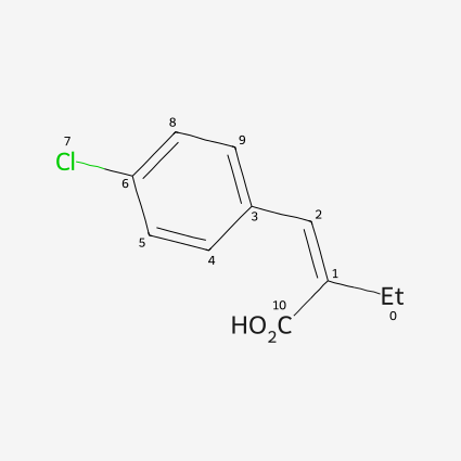 CCC(=Cc1ccc(Cl)cc1)C(=O)O